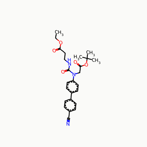 CCOC(=O)CCNC(=O)N(CC(=O)OC(C)(C)C)c1ccc(-c2ccc(C#N)cc2)cc1